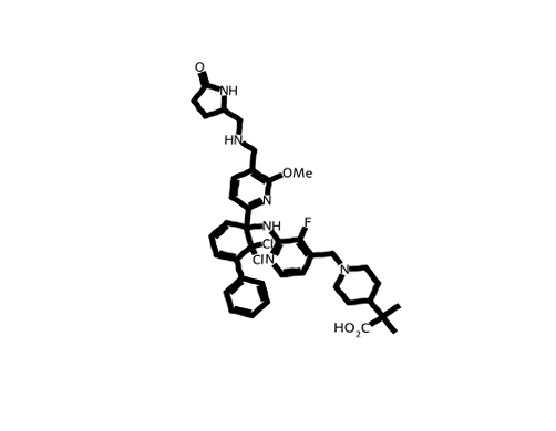 COc1nc(C2(Nc3nccc(CN4CCC(C(C)(C)C(=O)O)CC4)c3F)C=CC=C(c3ccccc3)C2(Cl)Cl)ccc1CNCC1CCC(=O)N1